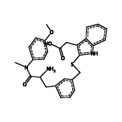 COc1ccc(N(C)C(=O)C(N)Cc2cccc(CSc3[nH]c4ccccc4c3CC(=O)O)c2)cc1